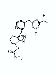 NC(=O)OC1CCCc2c1nnn2-c1cc(Cc2cc(F)cc(C(F)F)c2)ccn1